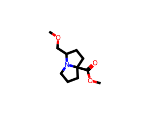 COCC1CCC2(C(=O)OC)CCCN12